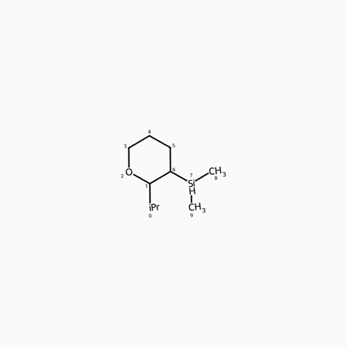 CC(C)C1OCCCC1[SiH](C)C